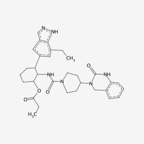 CCC(=O)OC1CCCC(c2cc(CC)c3[nH]ncc3c2)C1NC(=O)N1CCC(N2Cc3ccccc3NC2=O)CC1